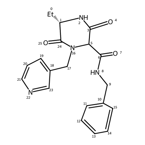 CC[C@@H]1NC(=O)C(C(=O)NCc2ccccc2)N(Cc2cccnc2)C1=O